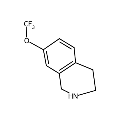 FC(F)(F)Oc1ccc2c(c1)CNCC2